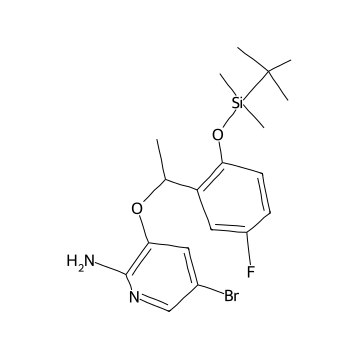 CC(Oc1cc(Br)cnc1N)c1cc(F)ccc1O[Si](C)(C)C(C)(C)C